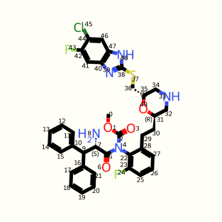 COC(=O)N(C(=O)[C@@H](N)C(c1ccccc1)c1ccccc1)c1c(F)cccc1CC[C@@H]1CNC[C@@H](CSc2nc3cc(F)c(Cl)cc3[nH]2)O1